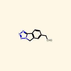 O=CCc1ccc2c(c1)Cn1nnnc1-2